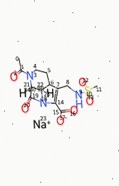 CC(=O)N1CCC2C(CNS(C)(=O)=O)=C(C(=O)[O-])N3C(=O)[C@@H]1[C@@H]23.[Na+]